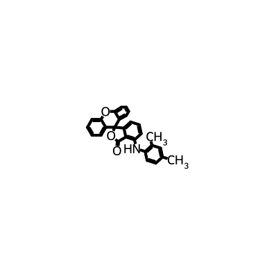 Cc1ccc(Nc2cccc3c2C(=O)OC32c3ccccc3Oc3ccccc32)c(C)c1